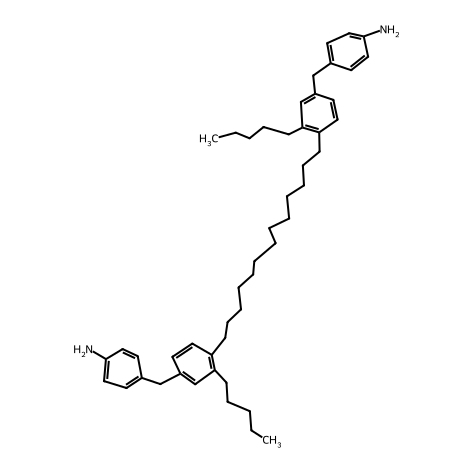 CCCCCc1cc(Cc2ccc(N)cc2)ccc1CCCCCCCCCCCCCc1ccc(Cc2ccc(N)cc2)cc1CCCCC